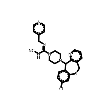 N#CN/C(=N\Cc1ccncc1)N1CCN(C2c3ccc(Cl)cc3SCc3cccnc32)CC1